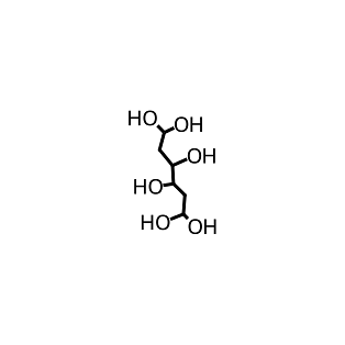 OC(O)CC(O)C(O)CC(O)O